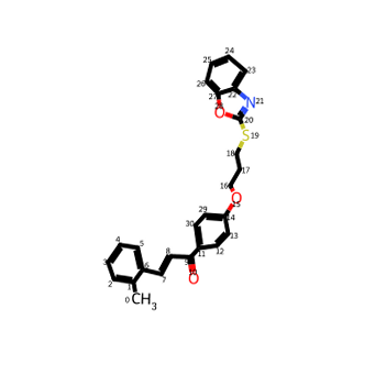 Cc1ccccc1/C=C/C(=O)c1ccc(OCCCSc2nc3ccccc3o2)cc1